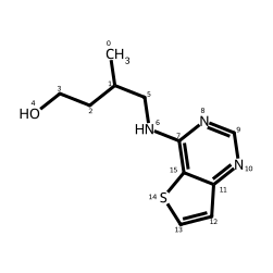 CC(CCO)CNc1ncnc2ccsc12